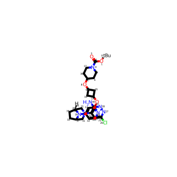 CC(C)(C)OC(=O)N1CCC(OC2CC(Oc3cc(N4C5CC[C@@H]4CN(c4cc(Cl)nnc4N)C5)ccn3)C2)CC1